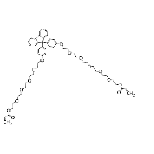 C=CC(=O)OCCOCCOCCOCCOCCOCCOc1ccc(C2(c3ccc(OCCOCCOCCOCCOCCOC(=O)C=C)cc3)c3ccccc3-c3ccccc32)cc1